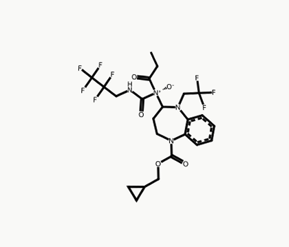 CCC(=O)[N@+]([O-])(C(=O)NCC(F)(F)C(F)(F)F)C1CCN(C(=O)OCC2CC2)c2ccccc2N1CC(F)(F)F